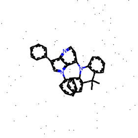 CC1(C)c2ccccc2N(c2ccnc3c(-c4ccccc4)cn(-c4ccccc4)c23)c2ccccc21